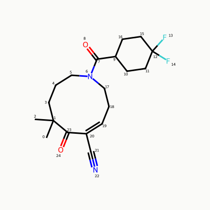 CC1(C)CCCN(C(=O)C2CCC(F)(F)CC2)CC/C=C(/C#N)C1=O